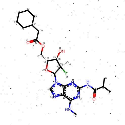 CNc1nc(NC(=O)C(C)C)nc2c1ncn2C1O[C@H](COC(=O)CC2CCCCC2)[C@@H](O)[C@@]1(C)F